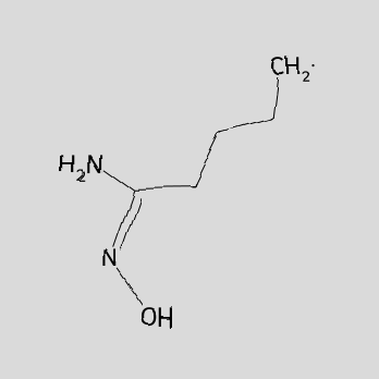 [CH2]CCC/C(N)=N\O